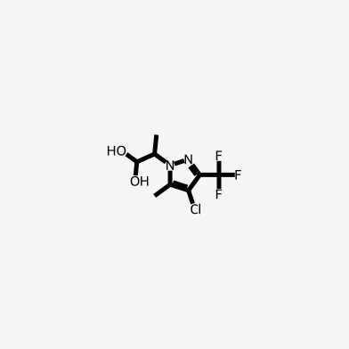 Cc1c(Cl)c(C(F)(F)F)nn1C(C)C(O)O